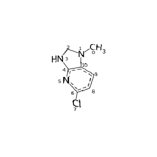 CN1CNc2nc(Cl)ccc21